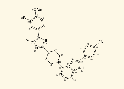 COc1ccc(-c2[nH]c(C3CCN(c4ncnc5[nH]c(-c6ccc(C#N)cc6)cc45)CC3)nc2C)cc1F